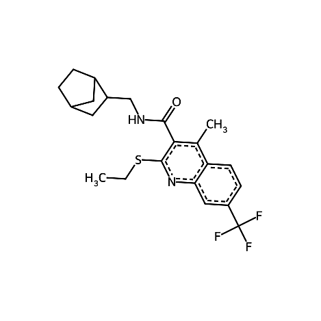 CCSc1nc2cc(C(F)(F)F)ccc2c(C)c1C(=O)NCC1CC2CCC1C2